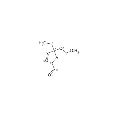 CCOC(C=O)(CC)CCC=O